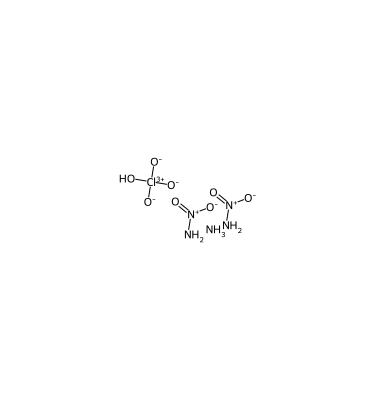 N.N[N+](=O)[O-].N[N+](=O)[O-].[O-][Cl+3]([O-])([O-])O